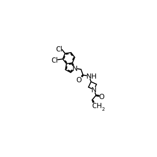 C=CC(=O)N1CC(NC(=O)Cn2ccc3c(Cl)c(Cl)ccc32)C1